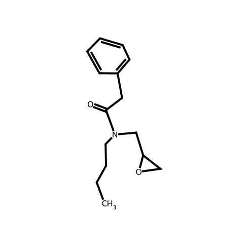 CCCCN(CC1CO1)C(=O)Cc1ccccc1